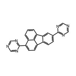 c1cc2c3c(ccc(-c4ncncn4)c3c1)-c1ccc(-c3ncncn3)cc1-2